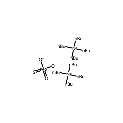 CCCC[N+](CCCC)(CCCC)CCCC.CCCC[N+](CCCC)(CCCC)CCCC.[O]=[Mo]([O-])([O-])=[S]